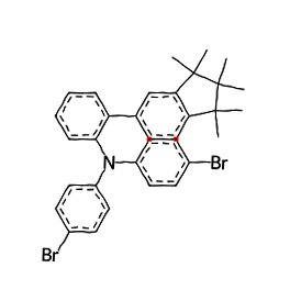 CC1(C)c2ccc(-c3ccccc3N(c3ccc(Br)cc3)c3ccc(Br)cc3)cc2C(C)(C)C1(C)C